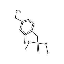 NCc1ccc(CP(=O)(OF)OF)c(Br)c1